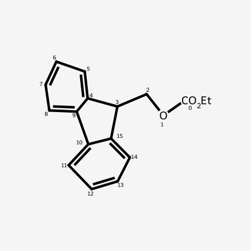 [CH2]COC(=O)OCC1c2ccccc2-c2ccccc21